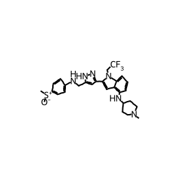 CN1CCC(Nc2cccc3c2cc(-c2cc(CNc4ccc([S+](C)[O-])cc4)[nH]n2)n3CC(F)(F)F)CC1